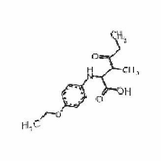 CCOc1ccc(NC(C(=O)O)C(C)C(=O)CC)cc1